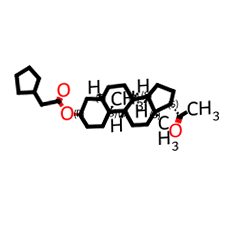 CC(=O)[C@H]1CC[C@H]2[C@@H]3CC[C@H]4C[C@H](OC(=O)CC5CCCC5)CC[C@]4(C)[C@H]3CC[C@]12C